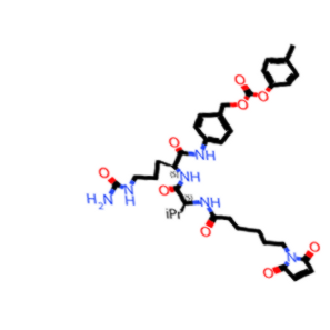 Cc1ccc(OC(=O)OCc2ccc(NC(=O)[C@H](CCCNC(N)=O)NC(=O)[C@@H](NC(=O)CCCCCN3C(=O)C=CC3=O)C(C)C)cc2)cc1